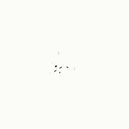 O=P([O-])([O-])O[O-].[K+].[K+].[K+]